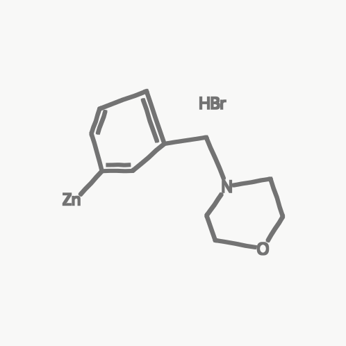 Br.[Zn][c]1cccc(CN2CCOCC2)c1